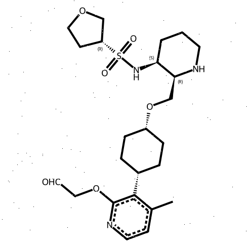 Cc1ccnc(OCC=O)c1[C@H]1CC[C@@H](OC[C@@H]2NCCC[C@@H]2NS(=O)(=O)[C@@H]2CCOC2)CC1